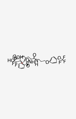 O=C(NCCCOc1ccc(OC(F)(F)F)cc1)C(Cc1ccc(C(F)(F)P(=O)(O)O)cc1)NS(=O)(=O)c1ccccc1